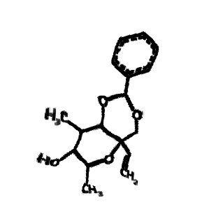 C=CC12COC(c3ccccc3)OC1C(C)C(O)C(C)O2